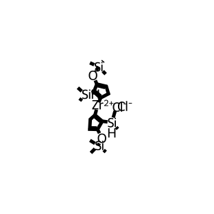 C[SiH](C)C1=[C]([Zr+2][C]2=C([SiH](C)C)C(O[Si](C)(C)C)=CC2)CC=C1O[Si](C)(C)C.[Cl-].[Cl-]